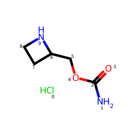 Cl.NC(=O)OCC1CCN1